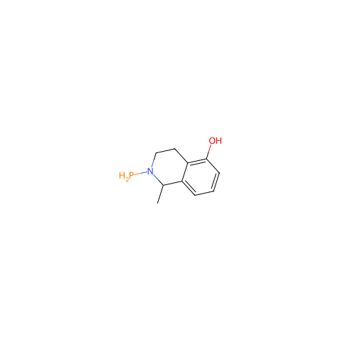 CC1c2cccc(O)c2CCN1P